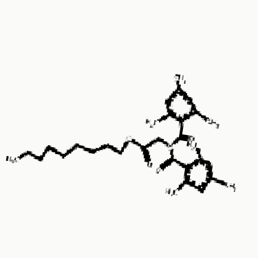 CCCCCCCCCOC(=O)CP(C(=O)c1c(C)cc(C)cc1C)C(=O)c1c(C)cc(C)cc1C